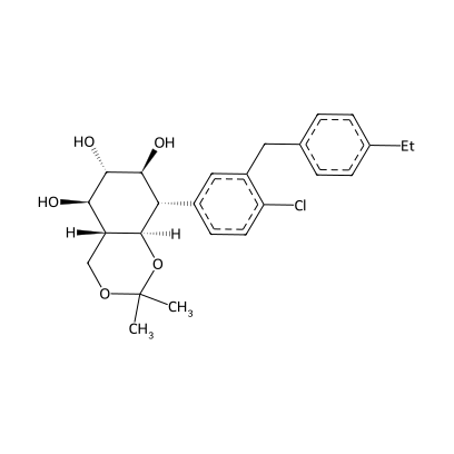 CCc1ccc(Cc2cc([C@H]3[C@H](O)[C@@H](O)[C@H](O)[C@H]4COC(C)(C)O[C@@H]43)ccc2Cl)cc1